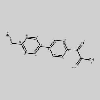 O=C(O)C(=O)c1ccc(-c2ccc(CBr)cc2)cc1